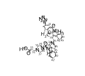 COc1ccc(-n2cnnn2)cc1C(=O)N(C)CC(CCN1CCC(NC(=O)N2CCN(CCC(=O)O)CC2)(c2ccccc2)CC1)c1ccccc1